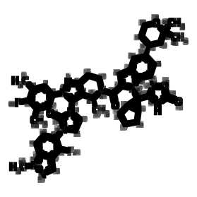 Cc1cc(-n2nc3c(c2-n2ccn(-c4ccc5c(cnn5C)c4F)c2=O)[C@H](C)N(C(=O)c2cc4cc([C@H]5CCOC(C)(C)C5)ccc4n2C2(c4noc(=O)[nH]4)C4CCCC42)CC3)cc(C)c1F